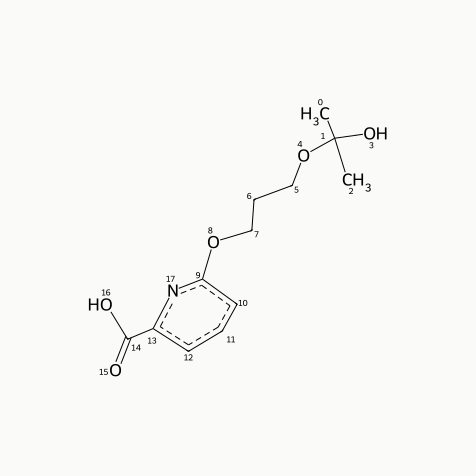 CC(C)(O)OCCCOc1cccc(C(=O)O)n1